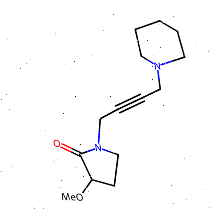 COC1CCN(CC#CCN2CCCCC2)C1=O